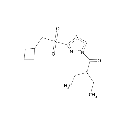 CCN(CC)C(=O)n1cnc(S(=O)(=O)CC2CCC2)n1